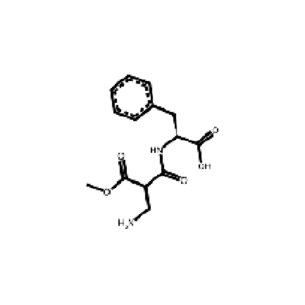 COC(=O)C(CN)C(=O)N[C@@H](Cc1ccccc1)C(=O)O